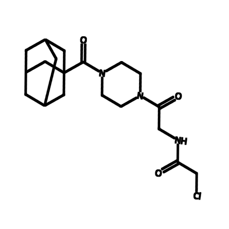 O=C(CCl)NCC(=O)N1CCN(C(=O)C23CC4CC(CC(C4)C2)C3)CC1